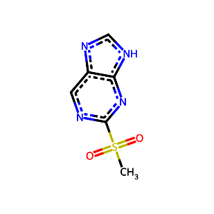 CS(=O)(=O)c1ncc2nc[nH]c2n1